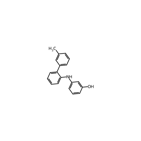 Cc1cccc(-c2ccccc2Nc2cccc(O)c2)c1